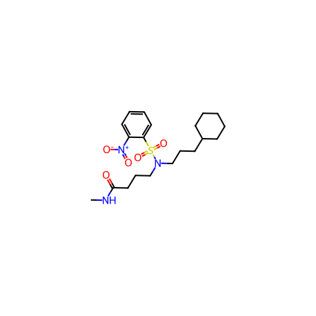 CNC(=O)CCCN(CCCC1CCCCC1)S(=O)(=O)c1ccccc1[N+](=O)[O-]